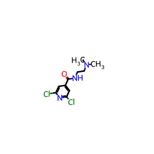 CN(C)CCNC(=O)c1cc(Cl)nc(Cl)c1